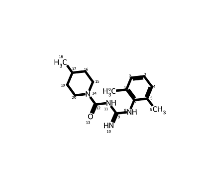 Cc1cccc(C)c1NC(=N)NC(=O)N1CCC(C)CC1